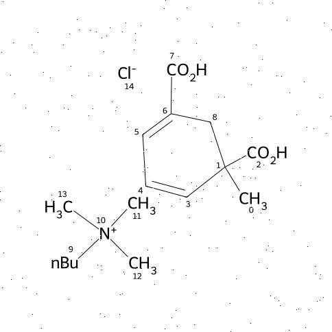 CC1(C(=O)O)C=CC=C(C(=O)O)C1.CCCC[N+](C)(C)C.[Cl-]